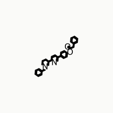 O=C(Cc1ccccc1)Oc1ccc(-c2ccc(C3CCCN(Cc4ccccc4)C3)nc2)cc1